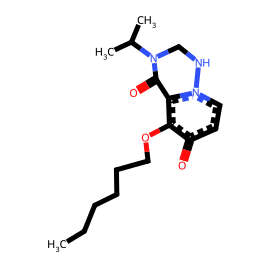 CCCCCCOc1c2n(ccc1=O)NCN(C(C)C)C2=O